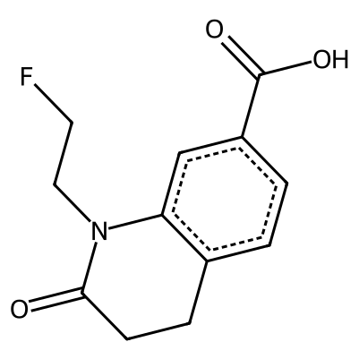 O=C(O)c1ccc2c(c1)N(CCF)C(=O)CC2